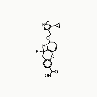 CC[C@]1(C)Cc2ccc(C(=O)N=O)cc2OC2=C1NC(OCc1cnoc1C1CC1)CC=C2